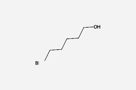 CCCCCCO.[B]